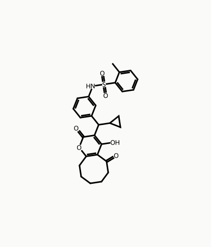 Cc1ccccc1S(=O)(=O)Nc1cccc(C(c2c(O)c3c(oc2=O)CCCCCC3=O)C2CC2)c1